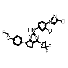 COc1cc(Nc2nc3c(c(N4CC(F)(F)C4)n2)CC[C@@H]3c2ccc(OCF)cc2)ccc1-n1cnc(Cl)c1